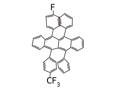 Fc1ccc(-c2c3ccccc3c(-c3ccc(C(F)(F)F)cc3)c3c(-c4ccccc4)c4ccccc4c(-c4ccccc4)c23)cc1